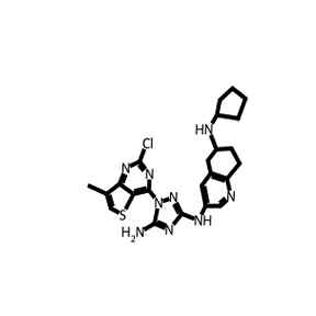 Cc1csc2c(-n3nc(Nc4cnc5c(c4)CC(NC4CCCC4)CC5)nc3N)nc(Cl)nc12